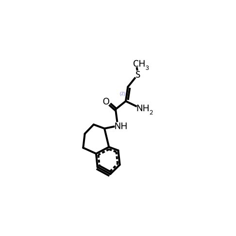 CS/C=C(\N)C(=O)NC1CCCc2c#cccc21